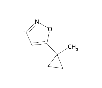 CC1(c2c[c]no2)CC1